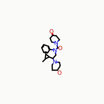 CC1CC1C(CN(C(=O)N1CCC(=O)CC1)c1ccccc1)N1CCC(=O)CC1